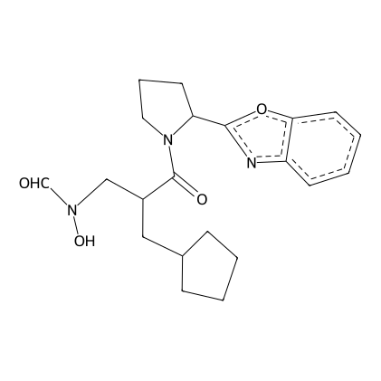 O=CN(O)CC(CC1CCCC1)C(=O)N1CCCC1c1nc2ccccc2o1